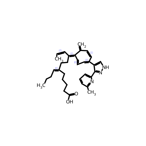 C=C1\C=C/C(c2c[nH]nc2-c2cccc(C)n2)=C/C=C/C1=C(/C=C\C)CC/C(=C/CCC)CCCCC(=O)O